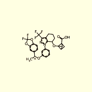 C[C@H](Oc1cccc(-n2nc(C(F)(F)F)c3c2C(OC2C4CC2(C(=O)O)C4)CCC3)c1)c1ccc2c(c1)OC(F)(F)O2